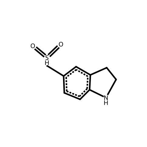 O=[SH](=O)Cc1ccc2c(c1)CCN2